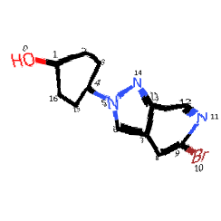 OC1CCC(n2cc3cc(Br)ncc3n2)CC1